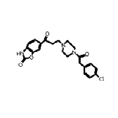 O=C(CCN1CCN(C(=O)Cc2ccc(Cl)cc2)CC1)c1ccc2[nH]c(=O)oc2c1